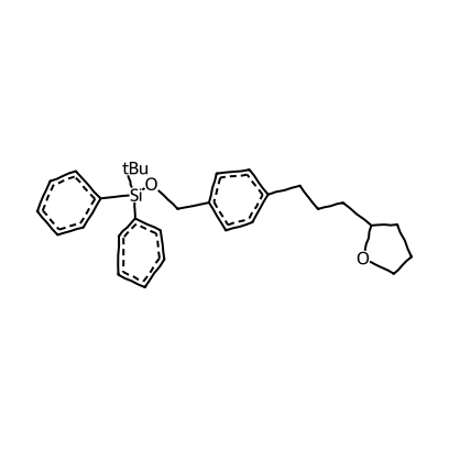 CC(C)(C)[Si](OCc1ccc(CCCC2CCCO2)cc1)(c1ccccc1)c1ccccc1